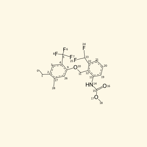 CCc1cc(C(F)(F)F)c(OCc2c(NC(=O)OC)cccc2C(F)F)cc1C